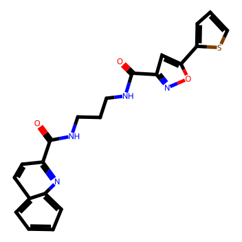 O=C(NCCCNC(=O)c1ccc2ccccc2n1)c1cc(-c2cccs2)on1